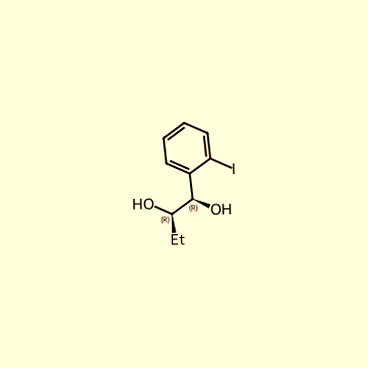 CC[C@@H](O)[C@H](O)c1ccccc1I